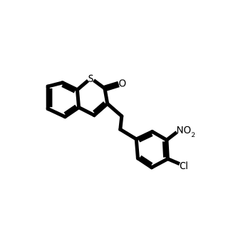 O=c1sc2ccccc2cc1CCc1ccc(Cl)c([N+](=O)[O-])c1